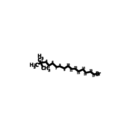 CC(C)(C)CCCCCCCCCCCCCCBr